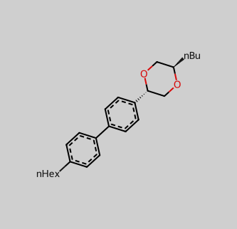 CCCCCCc1ccc(-c2ccc([C@H]3CO[C@H](CCCC)CO3)cc2)cc1